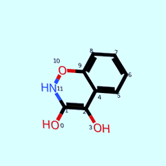 OC1=C(O)c2ccccc2ON1